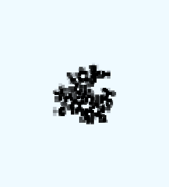 CC(C)C(=O)Nc1nc2c(ncn2[C@@H]2O[C@H](CO)[C@@H](O[Si](C)(C)C(C)(C)C)[C@H]2OP(=O)(OCCC#N)OCC2(O[PH](=O)O)CCCC2)c(=O)[nH]1